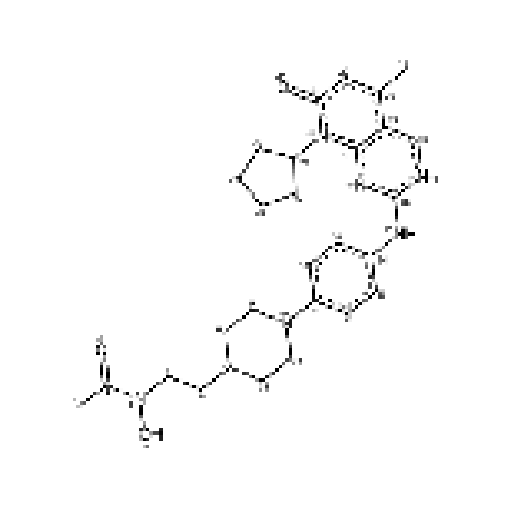 CC(=O)N(O)CCC1CCN(c2ccc(Nc3ncc4c(C)cc(=O)n(C5CCCC5)c4n3)cc2)CC1